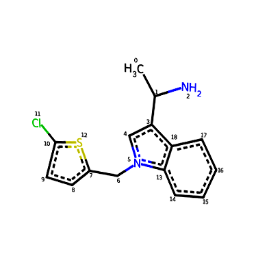 CC(N)c1cn(Cc2ccc(Cl)s2)c2ccccc12